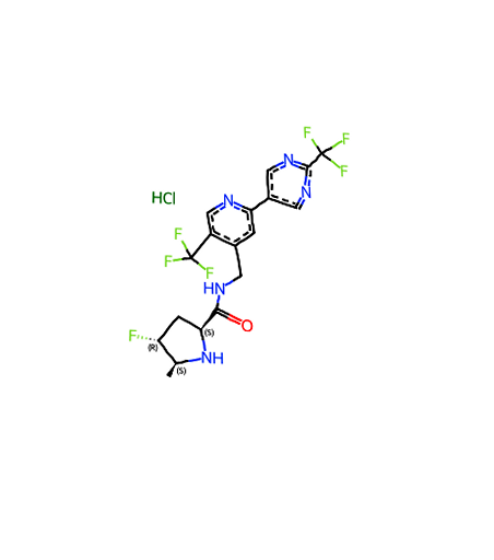 C[C@@H]1N[C@H](C(=O)NCc2cc(-c3cnc(C(F)(F)F)nc3)ncc2C(F)(F)F)C[C@H]1F.Cl